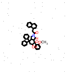 COc1ccccc1C1(O)C(O)CC(c2ccccc2)(c2ccccc2)C2CN(C(=O)Cc3cccc4ccccc34)CC21